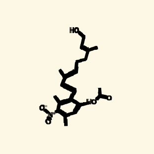 CC(=O)O.CC(C=Cc1c(C)cc(C)c([N+](=O)[O-])c1C)=CCCC(C)=CCO